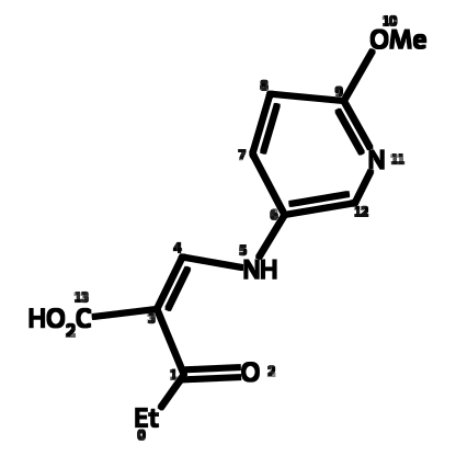 CCC(=O)/C(=C\Nc1ccc(OC)nc1)C(=O)O